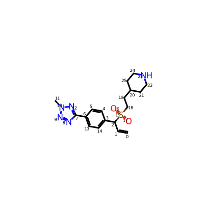 C=CC(c1ccc(-c2nnn(C)n2)cc1)S(=O)(=O)CCC1CCNCC1